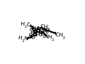 CCCCCCCCOC(=O)CC[C@@H](C)[C@H]1CC[C@H]2[C@@H]3[C@H](OC(=O)CCCC)C[C@@H]4C[C@H](OC(=O)CCCN)CC[C@]4(C)[C@H]3C[C@H](OC(=O)CCCN)[C@]12C